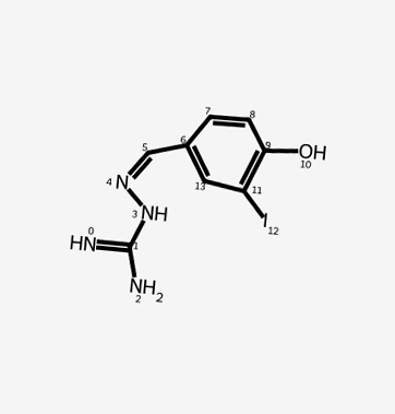 N=C(N)N/N=C\c1ccc(O)c(I)c1